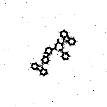 C=C1C=C(c2ccc3oc4cc(-n5c6ccccc6c6ccccc65)ccc4c3c2)N=C(c2ccccc2)N=C1n1c2ccccc2c2ccccc21